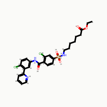 CCOC(=O)CCCCCCNS(=O)(=O)c1ccc(C(=O)Nc2ccc(Cl)c(-c3ccccn3)c2)c(Cl)c1